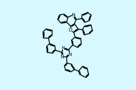 c1ccc(-c2cccc(-c3nc(-c4cccc(-c5ccccc5)c4)nc(-c4cccc(-c5oc6c(c(-c7ccccc7)nc7ccccc76)c5-c5ccccc5)c4)n3)c2)cc1